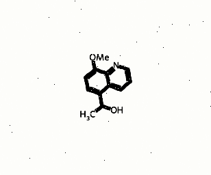 COc1ccc(C(C)O)c2cccnc12